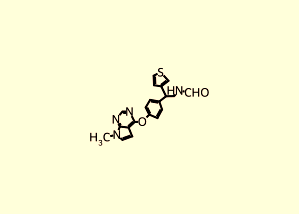 Cn1ccc2c(Oc3ccc(C(CNC=O)c4ccsc4)cc3)ncnc21